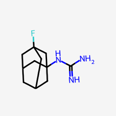 N=C(N)NC12CC3CC(CC(F)(C3)C1)C2